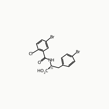 O=C(N[C@@H](Cc1ccc(Br)cc1)C(=O)O)c1cc(Br)ccc1Cl